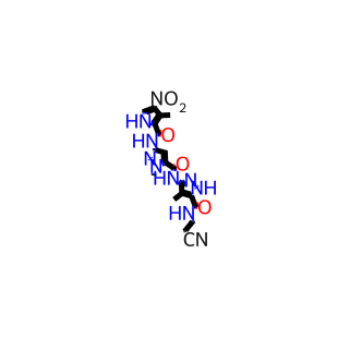 Cc1c([N+](=O)[O-])c[nH]c1C(=O)Nc1cc(C(=O)Nc2n[nH]c(C(=O)NCCC#N)c2C)n(C)n1